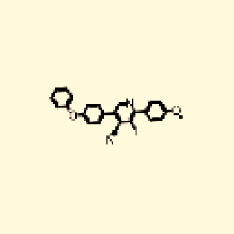 COc1ccc(-c2ncc(-c3ccc(Oc4ccccc4)cc3)c(C#N)c2I)cc1